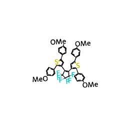 COc1ccc(-c2cc(C3=C(c4cc(-c5ccc(OC)cc5)sc4-c4ccc(OC)cc4)C(F)(F)C(F)(F)C3(F)F)c(-c3ccc(OC)cc3)s2)cc1